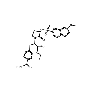 CCOC(=O)C(Cc1ccc(C(=N)N)cc1)N1CCC(NS(=O)(=O)c2ccc3ccc(OC)cc3c2)C1=O